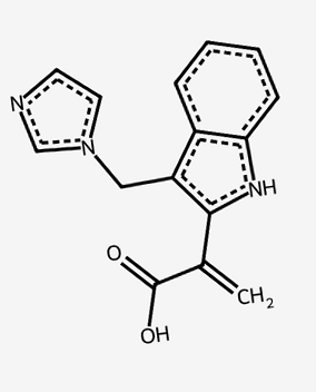 C=C(C(=O)O)c1[nH]c2ccccc2c1Cn1ccnc1